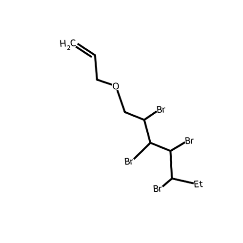 C=CCOCC(Br)C(Br)C(Br)C(Br)CC